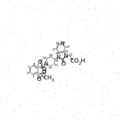 CS(=O)(=O)c1ccccc1S(=O)(=O)N1CCC(n2c(=O)n(CC(=O)O)c3cnccc32)CC1